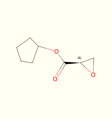 O=C(OC1CCCC1)[C@H]1CO1